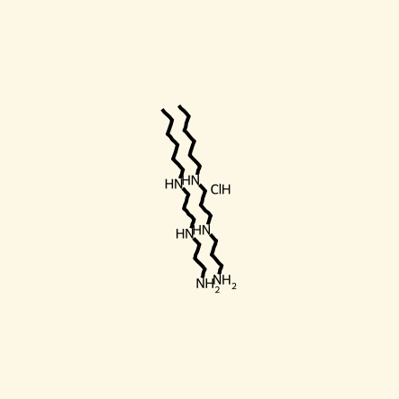 CCCCCCNCCCNCCCN.CCCCCCNCCCNCCCN.Cl